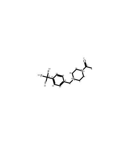 CC(=O)N1CCN(Cc2ccc(C(F)(F)F)cc2)CC1